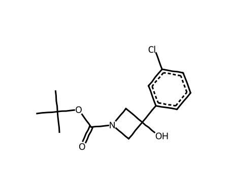 CC(C)(C)OC(=O)N1CC(O)(c2cccc(Cl)c2)C1